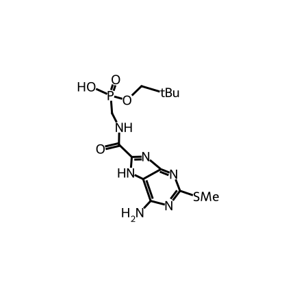 CSc1nc(N)c2[nH]c(C(=O)NCP(=O)(O)OCC(C)(C)C)nc2n1